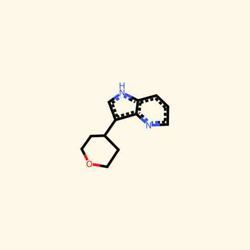 c1cnc2c(C3CCOCC3)c[nH]c2c1